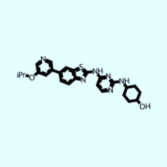 CC(C)Oc1cncc(-c2ccc3nc(Nc4ccnc(NC5CCC(O)CC5)n4)sc3c2)c1